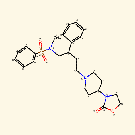 CN(CC(CCN1CCC(N2CCOC2=O)CC1)c1ccccc1)S(=O)(=O)c1ccccc1